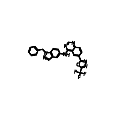 FC(F)(F)c1nnc(-c2ccc3ncnc(Nc4ccc5c(cnn5Cc5ccccc5)c4)c3c2)o1